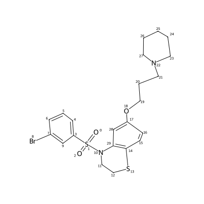 O=S(=O)(c1cccc(Br)c1)N1CCSc2ccc(OCCCN3CCCCC3)cc21